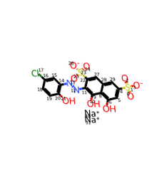 O=S(=O)([O-])c1cc(O)c2c(O)c(N=Nc3cc(Cl)ccc3O)c(S(=O)(=O)[O-])cc2c1.[Na+].[Na+]